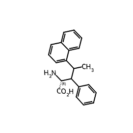 CC(c1cccc2ccccc12)C(c1ccccc1)[C@@H](N)C(=O)O